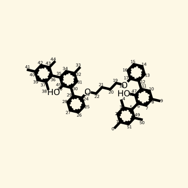 Cc1cc(C)c(-c2cc(C)cc(-c3ccccc3OCCCCOc3ccccc3-c3cc(C)cc(-c4c(C)cc(C)cc4C)c3O)c2O)c(C)c1